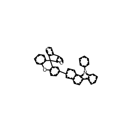 c1ccc(-n2c3ccccc3c3ccc4cc(-c5ccc6c(c5)C5(c7ccccc7O6)c6ccccc6-c6ccccc65)ccc4c32)cc1